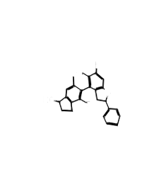 Cc1cc2c(c(F)c1-c1c(Cl)c(F)cc3c1CC(c1ccccc1)O3)CCC2O